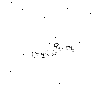 CCOC(=O)C1CCC(NCc2ccccc2)=CCO1